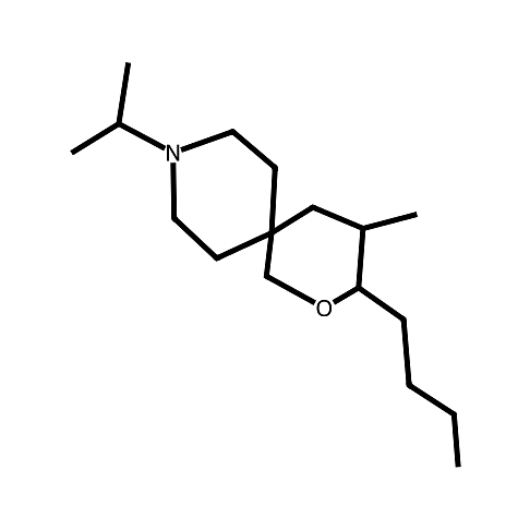 CCCCC1OCC2(CCN(C(C)C)CC2)CC1C